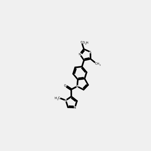 Cc1sc(C(=O)O)nc1-c1ccc2c(ccn2C(=O)c2cncn2C)c1